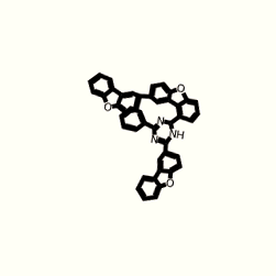 c1ccc(C2=NC(c3cccc4oc5ccc(-c6ccc7oc8ccccc8c7c6)cc5c34)NC(c3ccc4oc5ccccc5c4c3)=N2)cc1